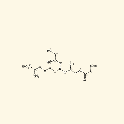 CCCCCCCCCCCC(=O)OCC(O)CN(CCCCC(N)C(=O)OCC)CC(O)CO